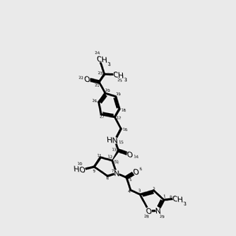 Cc1cc(CC(=O)N2CC(O)C[C@H]2C(=O)NCc2ccc(C(=O)C(C)C)cc2)on1